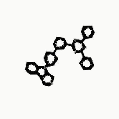 c1ccc(-c2nc(-c3ccccc3)nc(-c3cccc(-c4ccc(-n5c6ccccc6c6ccncc65)cc4)c3)n2)cc1